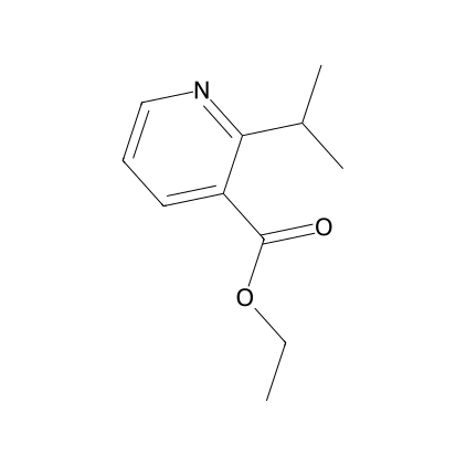 CCOC(=O)c1cccnc1C(C)C